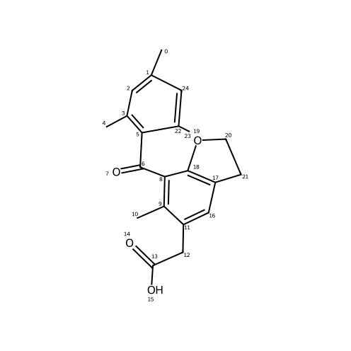 Cc1cc(C)c(C(=O)c2c(C)c(CC(=O)O)cc3c2OCC3)c(C)c1